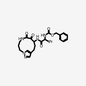 CC(C)C(NC(=O)OCc1ccccc1)C(=O)NC1CCc2cnn(c2)CCCNC(=O)C1=O